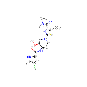 CCO[C@H]1CN(c2nc(C(=N)N(C)NC)c(C(=O)O)s2)CC[C@H]1NC(=O)c1cc(Cl)c(C)[nH]1